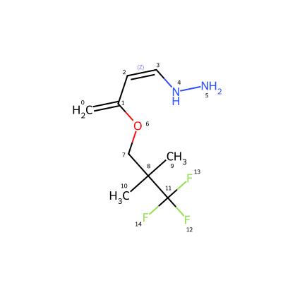 C=C(/C=C\NN)OCC(C)(C)C(F)(F)F